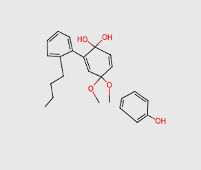 CCCCc1ccccc1C1=CC(OC)(OC)C=CC1(O)O.Oc1ccccc1